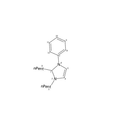 CCCCCC1N(CCCCC)C=CN1c1ccccc1